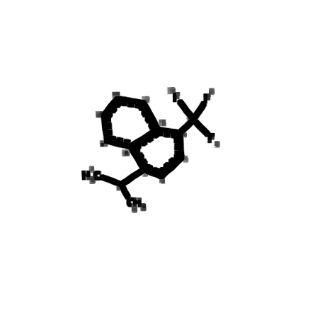 CC(C)c1ccc(C(F)(F)F)c2ccccc12